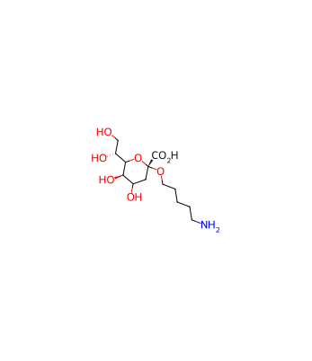 NCCCCCO[C@]1(C(=O)O)CC(O)[C@@H](O)C([C@H](O)CO)O1